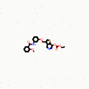 CCOC(=O)Oc1cncc2c(COc3cccc(NC(=O)c4ccccc4OC)c3)csc12